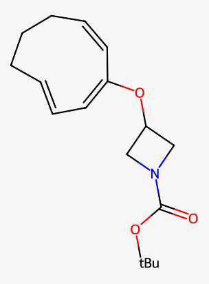 CC(C)(C)OC(=O)N1CC(OC2=C/C=C/CCC/C=C\2)C1